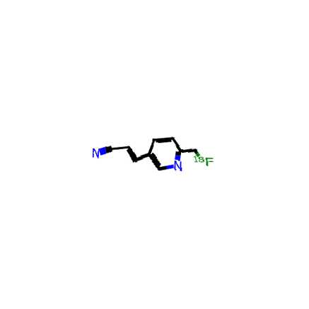 N#CC=Cc1ccc(C[18F])nc1